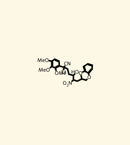 CCC(C#N)(CCC(O)C(CC1COc2ccccc2O1)[N+](=O)[O-])c1ccc(OC)c(OC)c1OC